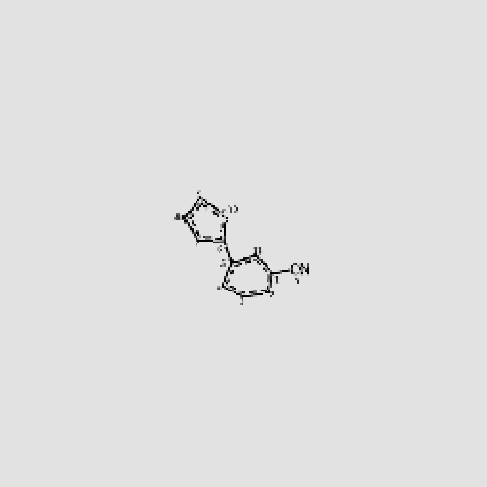 N#Cc1cccc(-c2cccs2)c1